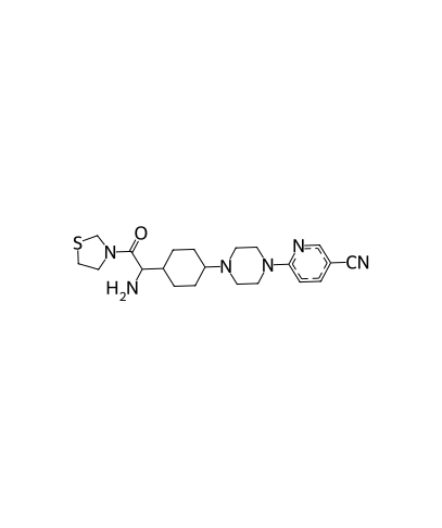 N#Cc1ccc(N2CCN(C3CCC(C(N)C(=O)N4CCSC4)CC3)CC2)nc1